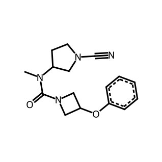 CN(C(=O)N1CC(Oc2ccccc2)C1)C1CCN(C#N)C1